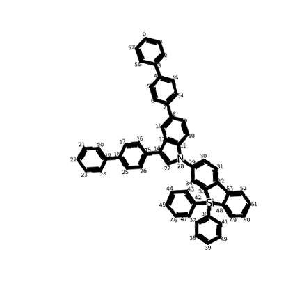 c1ccc(-c2ccc(-c3ccc4c(c3)c(-c3ccc(-c5ccccc5)cc3)cn4-c3ccc4c(c3)[Si](c3ccccc3)(c3ccccc3)c3ccccc3-4)cc2)cc1